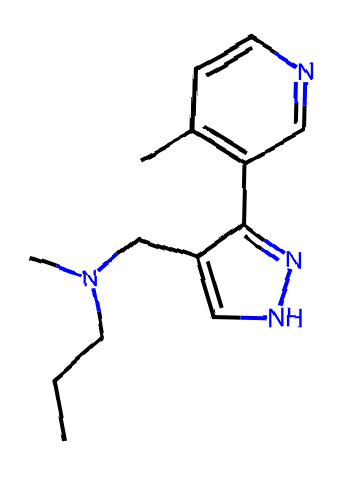 CCCN(C)Cc1c[nH]nc1-c1cnccc1C